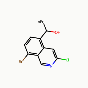 CCCC(O)c1ccc(Br)c2cnc(Cl)cc12